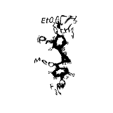 CCOC(=O)C(C)(C)Oc1ccc(C2CC2C(OC)c2ccc(OC(F)(F)F)cc2)cc1C(C)C